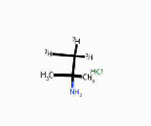 Cl.[2H]C([2H])([2H])C(C)(C)N